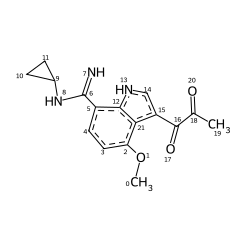 COc1ccc(C(=N)NC2CC2)c2[nH]cc(C(=O)C(C)=O)c12